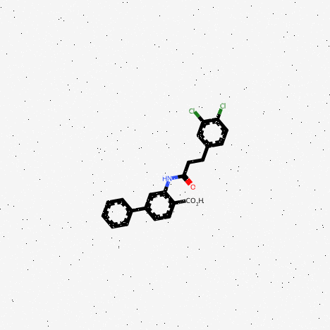 O=C(CCc1ccc(Cl)c(Cl)c1)Nc1cc(-c2ccccc2)ccc1C(=O)O